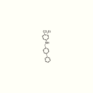 CCOC(=O)c1ccc(NCc2ccc(-c3ccccc3)cc2)cc1